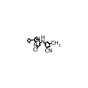 Cc1cc(C#N)cc(Nc2cc(Cl)nc3c(C4CCC4)cnn23)c1